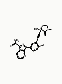 C=C1N(C)CC[C@@]1(O)C#Cc1cc(-n2nc(C(N)=O)c3cccnc32)ccc1F